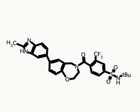 Cc1nc2ccc(-c3ccc4c(c3)CN(C(=O)c3ccc(S(=O)(=O)NC(C)(C)C)cc3C(F)(F)F)CCO4)cc2[nH]1